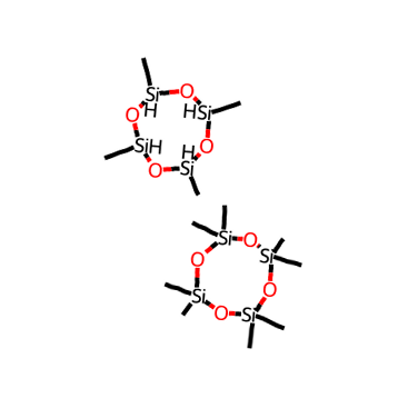 C[SiH]1O[SiH](C)O[SiH](C)O[SiH](C)O1.C[Si]1(C)O[Si](C)(C)O[Si](C)(C)O[Si](C)(C)O1